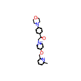 Cc1cccc(COc2cc[n+](CC(=O)c3ccc(N4CCOCC4)cc3)cc2)n1